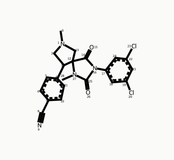 CN1CC(c2ccc(C#N)cc2)C2(C1)C(=O)N(c1cc(Cl)cc(Cl)c1)C(=O)N2C